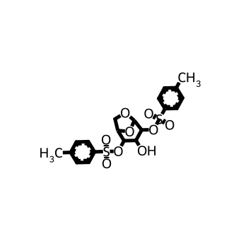 Cc1ccc(S(=O)(=O)OC2C3COC(O3)C(OS(=O)(=O)c3ccc(C)cc3)C2O)cc1